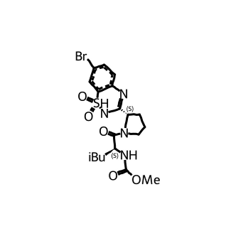 CCC(C)[C@H](NC(=O)OC)C(=O)N1CCC[C@H]1C1=Nc2ccc(Br)cc2S(=O)(=O)N1